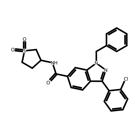 O=C(NC1CCS(=O)(=O)C1)c1ccc2c(-c3ccccc3Cl)nn(Cc3ccccc3)c2c1